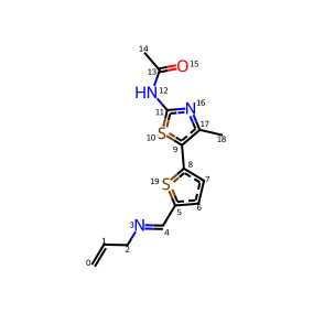 C=CCN=Cc1ccc(-c2sc(NC(C)=O)nc2C)s1